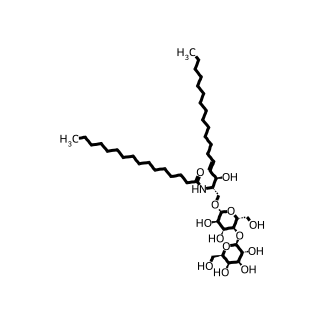 CCCCCCCCCCCCC/C=C/[C@@H](O)[C@H](CO[C@@H]1O[C@H](CO)[C@@H](O[C@@H]2O[C@H](CO)[C@H](O)[C@H](O)[C@H]2O)[C@H](O)[C@H]1O)NC(=O)CCCCCCCCCCCCCCC